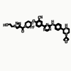 N#Cc1cc(-c2ncnc(Nc3ccc(C4CN(C5COC5)CCN4)cc3)n2)ccc1O[C@H]1CCN(C(=O)c2cn(CCO)nn2)C[C@H]1F